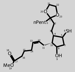 CCCCCC1(CC[C@H]2C(S)CC(O)[C@@H]2C/C=C\CCCC(=O)OC)OCCO1